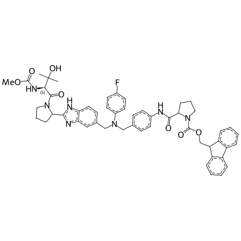 COC(=O)N[C@H](C(=O)N1CCCC1c1nc2cc(CN(Cc3ccc(NC(=O)C4CCCN4C(=O)OCC4c5ccccc5-c5ccccc54)cc3)c3ccc(F)cc3)ccc2[nH]1)C(C)(C)O